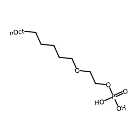 CCCCCCCCCCCCCOCCOP(=O)(O)O